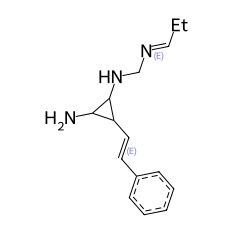 CC/C=N/CNC1C(N)C1/C=C/c1ccccc1